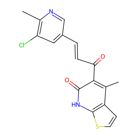 Cc1ncc(/C=C/C(=O)c2c(C)c3ccsc3[nH]c2=O)cc1Cl